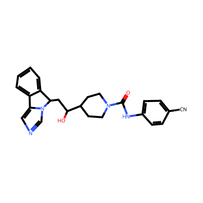 N#Cc1ccc(NC(=O)N2CCC(C(O)CC3c4ccccc4-c4cncn43)CC2)cc1